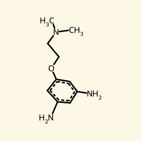 CN(C)CCOc1cc(N)cc(N)c1